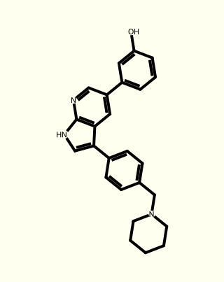 Oc1cccc(-c2cnc3[nH]cc(-c4ccc(CN5CCCCC5)cc4)c3c2)c1